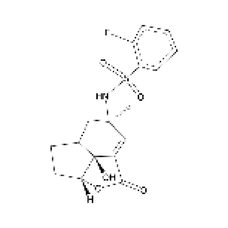 C[C@]1(NS(=O)(=O)c2ccccc2F)C=C2C(=O)O[C@@H]3CCC(C1)[C@]23O